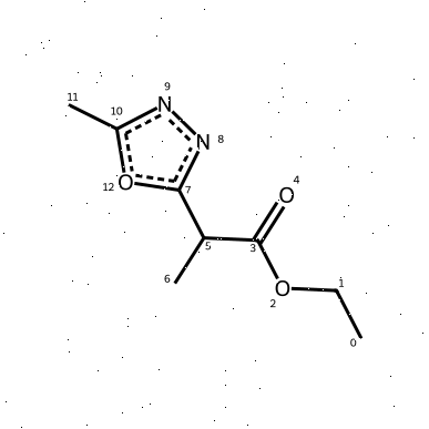 CCOC(=O)C(C)c1nnc(C)o1